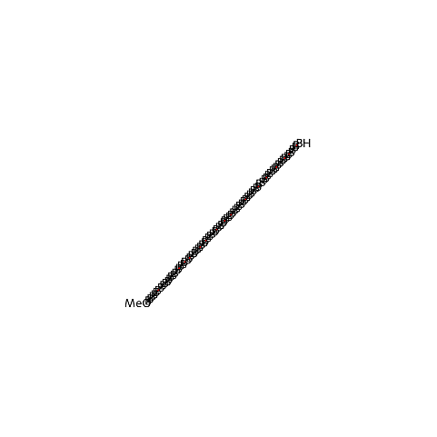 B=BB=BB=BB=BB=BB=BB=BB=BB=BB=BB=BB=BB=BB=BB=BB=BB=BB=BB=BB=BB=BB=BB=BB=BB=BB=BB=BB=BB=BB=BB=BB=BB=BB=BB=BB=BB=BOC